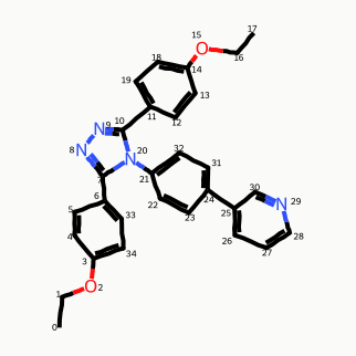 CCOc1ccc(-c2nnc(-c3ccc(OCC)cc3)n2-c2ccc(-c3cccnc3)cc2)cc1